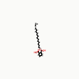 CCCCCCCCCCCCCCC[CH2][Na].O=C(O)c1ccccc1C(=O)O